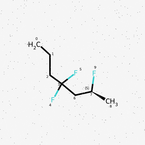 [CH2]CCC(F)(F)C[C@H](C)F